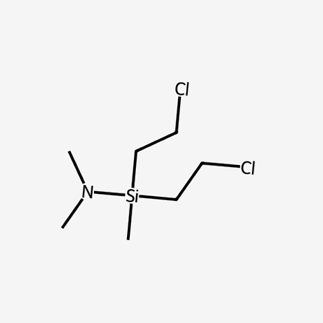 CN(C)[Si](C)(CCCl)CCCl